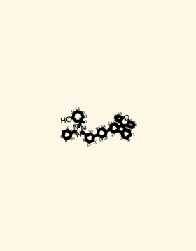 CC1(c2nc(-c3ccccc3)nc(-c3cccc(C4C=CC(c5ccc6c(c5)-c5ccccc5C65c6ccccc6Oc6ccccc65)=CC4)c3)n2)CCCCC(O)C1